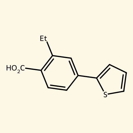 CCc1cc(-c2cccs2)ccc1C(=O)O